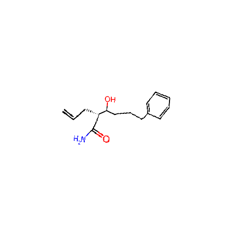 C=CC[C@@H](C(N)=O)C(O)CCCc1ccccc1